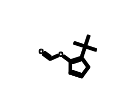 CC(C)(C)C1=C(OC=O)C=CC1